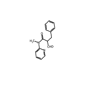 CN(C(=O)C([C]=O)Cc1ccccc1)c1ccccn1